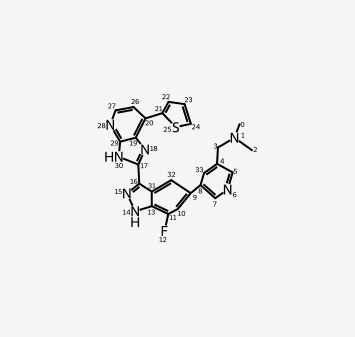 CN(C)Cc1cncc(-c2cc(F)c3[nH]nc(-c4nc5c(-c6cccs6)ccnc5[nH]4)c3c2)c1